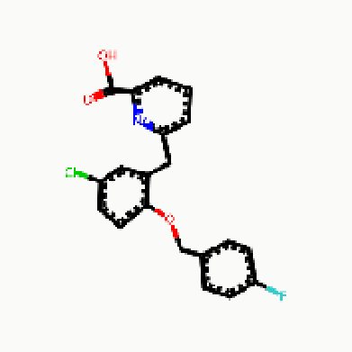 O=C(O)c1cccc(Cc2cc(Cl)ccc2OCc2ccc(F)cc2)n1